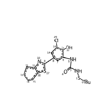 CC(C)(C)SNC(=O)Nc1cc(-c2nc3ccccc3s2)cc(Cl)c1O